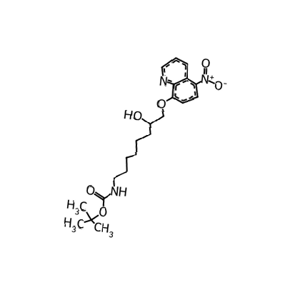 CC(C)(C)OC(=O)NCCCCCCC(O)COc1ccc([N+](=O)[O-])c2cccnc12